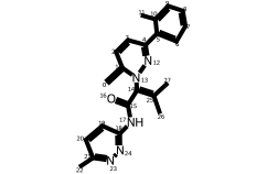 C=C1C=CC(c2ccccc2C)=NN1C(C(=O)Nc1ccc(C)nn1)=C(C)C